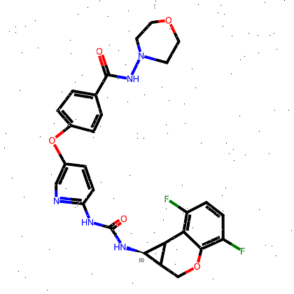 O=C(Nc1ccc(Oc2ccc(C(=O)NN3CCOCC3)cc2)cn1)N[C@@H]1C2COc3c(F)ccc(F)c3C21